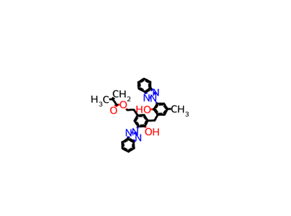 C=C(C)C(=O)OCCc1cc(Cc2cc(C)cc(-n3nc4ccccc4n3)c2O)c(O)c(-n2nc3ccccc3n2)c1